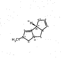 CN1C=C2[C@@H]3SC=CC3CN2C1